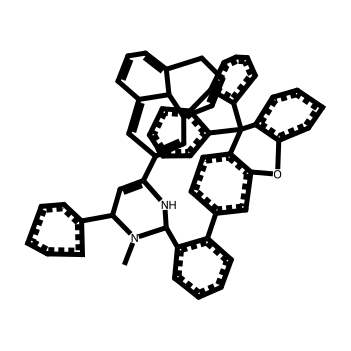 CN1C(c2ccccc2)C=C(C2=CC3C=CCC4=CC=CC(=C2)C43)NC1c1ccccc1-c1ccc2c(c1)Oc1ccccc1C21c2ccccc2-c2ccccc21